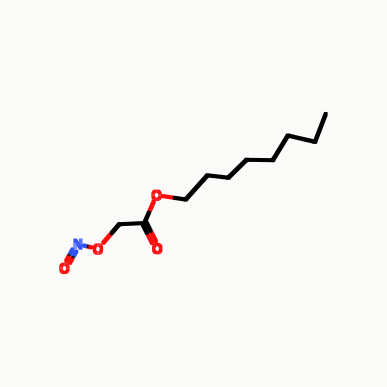 CCCCCCCCOC(=O)CON=O